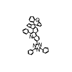 c1ccc(-c2nc(-c3ccccc3)nc(-c3ccc4c(c3)nc(-c3ccccc3)c3c5c(ccc34)C3(c4ccccc4Oc4ccccc43)c3ccccc3-5)n2)cc1